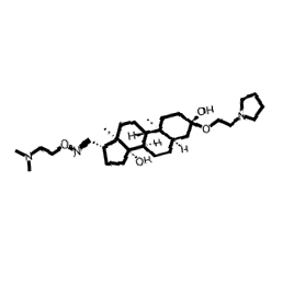 CN(C)CCO/N=C/[C@H]1CC[C@]2(O)[C@@H]3CC[C@@H]4C[C@@](O)(OCCN5CCCC5)CC[C@]4(C)[C@H]3CC[C@]12C